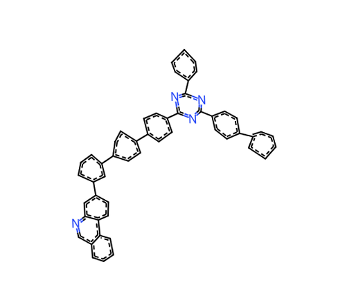 c1ccc(-c2ccc(-c3nc(-c4ccccc4)nc(-c4ccc(-c5ccc(-c6cccc(-c7ccc8c(c7)ncc7ccccc78)c6)cc5)cc4)n3)cc2)cc1